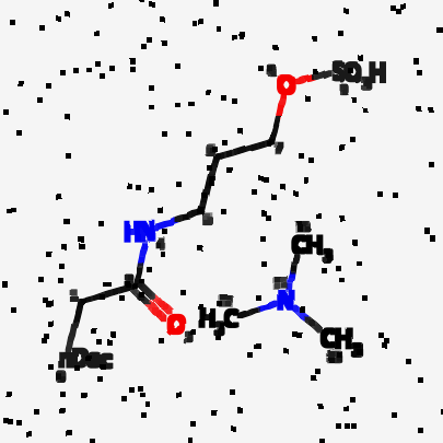 CCCCCCCCCCCC(=O)NCCCOS(=O)(=O)O.CN(C)C